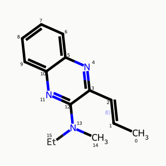 C/C=C/c1nc2ccccc2nc1N(C)CC